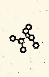 c1ccc(-c2cc(-c3ccccc3)nc(-n3c4cc(-c5ccccc5)ccc4c4c5ccccc5ccc43)c2)cc1